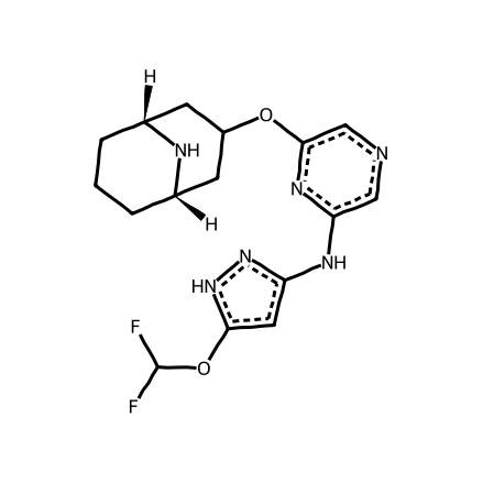 FC(F)Oc1cc(Nc2cncc(OC3C[C@H]4CCC[C@@H](C3)N4)n2)n[nH]1